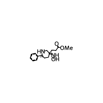 COC(=O)CC[C@@]1(NO)CC[C@@H](c2ccccc2)NC1